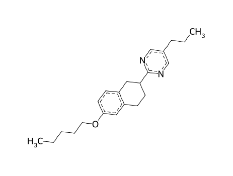 CCCCCOc1ccc2c(c1)CCC(c1ncc(CCC)cn1)C2